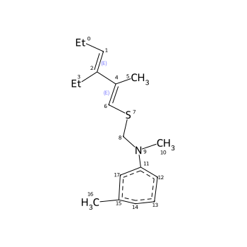 CC/C=C(CC)/C(C)=C/SCN(C)c1cccc(C)c1